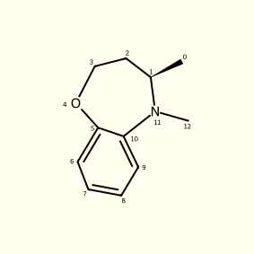 C[C@@H]1CCOc2ccccc2N1C